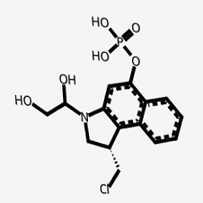 O=P(O)(O)Oc1cc2c(c3ccccc13)[C@H](CCl)CN2C(O)CO